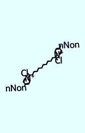 CCCCCCCCCc1cc[n+](C(Cl)CCCCCCCCCCC(Cl)[n+]2ccc(CCCCCCCCC)cc2)cc1